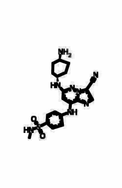 CNS(=O)(=O)c1ccc(Nc2cc(N[C@H]3CC[C@H](N)CC3)nn3c(C#N)cnc23)cc1